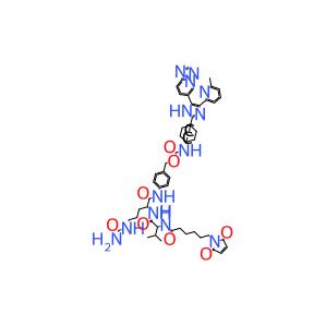 Cc1cccc(-c2nc(C34CCC(NC(=O)OCc5ccc(NC(=O)C(CCCNC(N)=O)NC(=O)[C@@H](NC(=O)CCCCCN6C(=O)C=CC6=O)C(C)C)cc5)(CC3)CC4)[nH]c2-c2ccc3ncnn3c2)n1